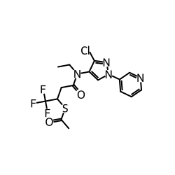 CCN(C(=O)CC(SC(C)=O)C(F)(F)F)c1cn(-c2cccnc2)nc1Cl